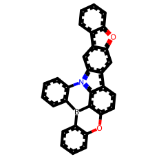 c1ccc2c(c1)Oc1ccc3c4cc5oc6ccccc6c5cc4n4c3c1B2c1ccccc1-4